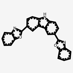 c1ccc2oc(-c3ccc4[nH]c5ccc(-c6nc7ccccc7o6)cc5c4c3)nc2c1